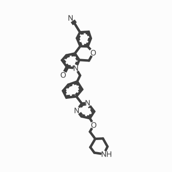 N#Cc1ccc2c(c1)-c1ccc(=O)n(Cc3cccc(-c4ncc(OCC5CCNCC5)cn4)c3)c1CO2